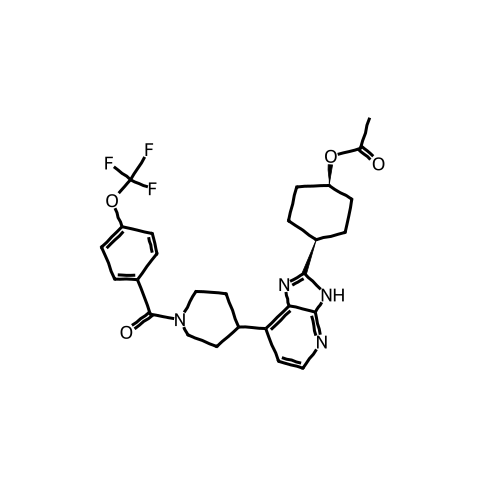 CC(=O)O[C@H]1CC[C@@H](c2nc3c(C4CCN(C(=O)c5ccc(OC(F)(F)F)cc5)CC4)ccnc3[nH]2)CC1